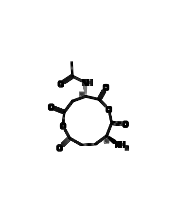 CC(=O)N[C@H]1CC(=O)OC(=O)CC[C@H](N)C(=O)OC1=O